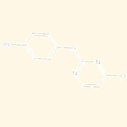 CC(C)c1ccc(Oc2nccc(Cl)n2)cc1